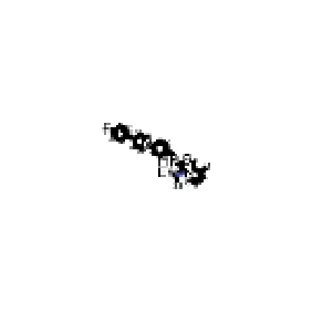 C=C1C(C)=CC=CN1/C(C(=O)NCc1ccc(N2CCC(c3ccc(F)cc3)CC2)cc1)=C(\C)CC